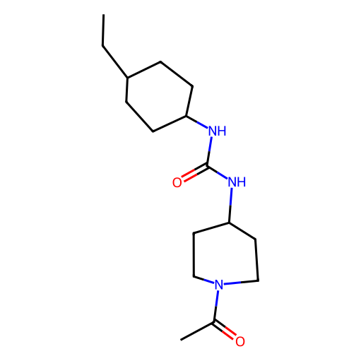 CCC1CCC(NC(=O)NC2CCN(C(C)=O)CC2)CC1